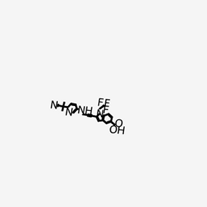 CC(C)(C#N)c1ccc(NCC#Cc2cc3cc(C(=O)O)ccc3n2CC(F)(F)F)cn1